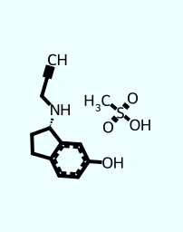 C#CCN[C@H]1CCc2ccc(O)cc21.CS(=O)(=O)O